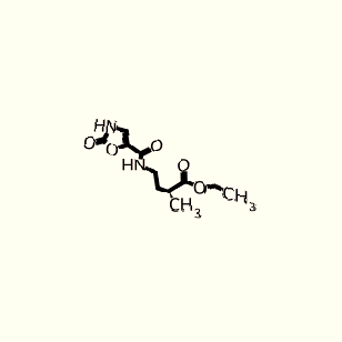 CCOC(=O)[C@H](C)CCNC(=O)c1c[nH]c(=O)o1